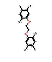 CCc1cc(OCCOc2cc(CC)c(C)cc2CC)c(CC)cc1C